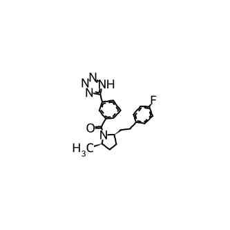 C[C@@H]1CC[C@H](CCc2ccc(F)cc2)N1C(=O)c1cccc(-c2nnn[nH]2)c1